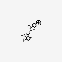 Cc1[nH]c2c(F)ccc(C)c2c1CCNC(=O)c1ccc(-n2cccn2)cc1